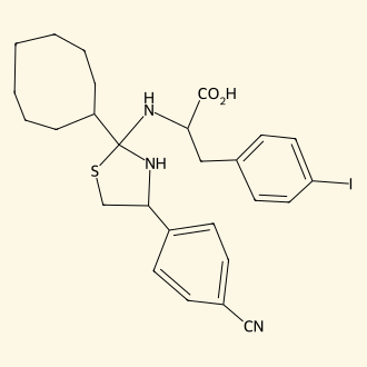 N#Cc1ccc(C2CSC(NC(Cc3ccc(I)cc3)C(=O)O)(C3CCCCCCC3)N2)cc1